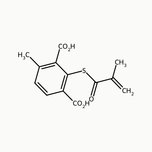 C=C(C)C(=O)Sc1c(C(=O)O)ccc(C)c1C(=O)O